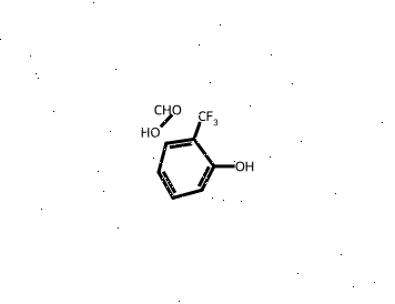 O=CO.Oc1ccccc1C(F)(F)F